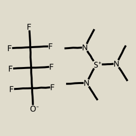 CN(C)[S+](N(C)C)N(C)C.[O-]C(F)(F)C(F)(F)C(F)(F)F